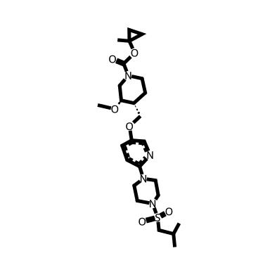 CO[C@@H]1CN(C(=O)OC2(C)CC2)CC[C@@H]1COc1ccc(N2CCN(S(=O)(=O)CC(C)C)CC2)nc1